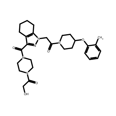 Cc1ccccc1OC1CCN(C(=O)Cn2nc(C(=O)N3CCN(C(=O)CO)CC3)c3c2CCCC3)CC1